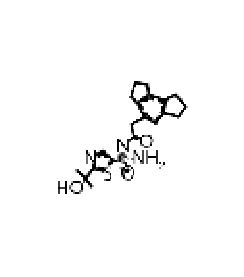 CC(C)(O)c1ncc([S@](N)(=O)=NC(=O)Cc2cc3c(c4c2CCC4)CCC3)s1